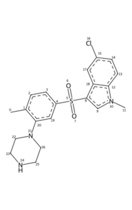 Cc1ccc(S(=O)(=O)c2cn(C)c3ccc(Cl)cc23)cc1N1CCNCC1